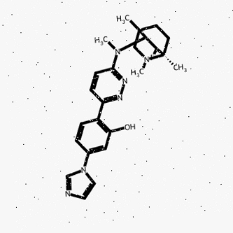 CN(c1ccc(-c2ccc(-n3ccnc3)cc2O)nn1)C1C(F)[C@@]2(C)CCC1(C)CN2C